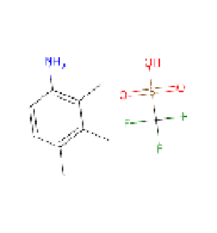 Cc1ccc(N)c(C)c1C.O=S(=O)(O)C(F)(F)F